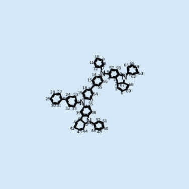 C1=CC2c3cc(N(c4ccccc4)c4ccc(-c5ccc(N(c6ccc(-c7ccccc7)cc6)c6ccc7c(c6)C6C=CC=CC6N7c6ccccc6)cc5)cc4)ccc3N(c3ccccc3)C2C=C1